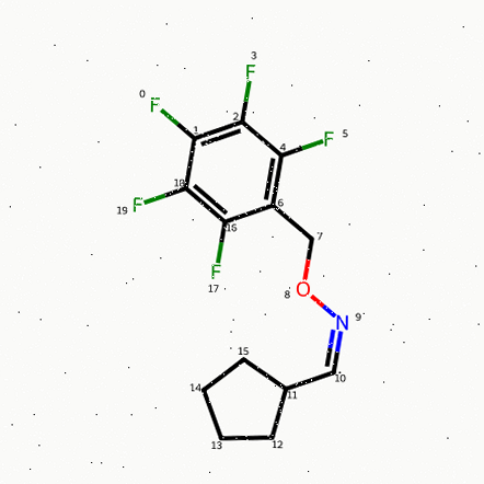 Fc1c(F)c(F)c(CO/N=[C]\C2CCCC2)c(F)c1F